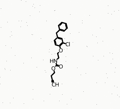 C#CCCOC(=O)NCCOc1ccc(Cc2ccccc2)cc1Cl